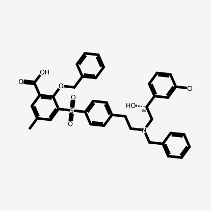 Cc1cc(C(=O)O)c(OCc2ccccc2)c(S(=O)(=O)c2ccc(CCN(Cc3ccccc3)C[C@H](O)c3cccc(Cl)c3)cc2)c1